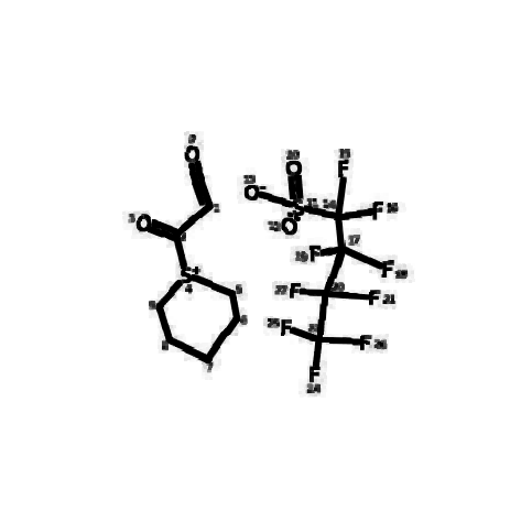 O=CC(=O)[S+]1CCCCC1.O=S(=O)([O-])C(F)(F)C(F)(F)C(F)(F)C(F)(F)F